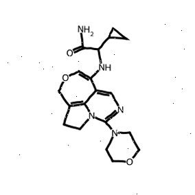 NC(=O)C(NC1=COCC2=C3C1=CN=C(N1CCOCC1)N3CC2)C1CC1